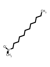 C=[N+]([O-])CCCCCCCCCCCC